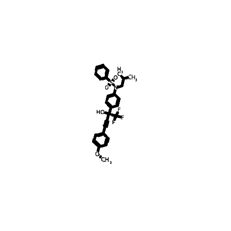 COc1ccc(C#CC(O)(c2ccc(N(CC(C)C)S(=O)(=O)c3ccccc3)cc2)C(F)(F)F)cc1